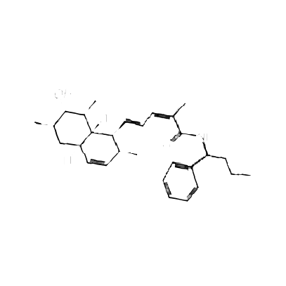 CCCC(NC(=O)C(C)=CC=C[C@@H]1[C@H]2[C@H](C)[C@@H](O)[C@H](C)C[C@@H]2C=C[C@@H]1C)c1ccccc1